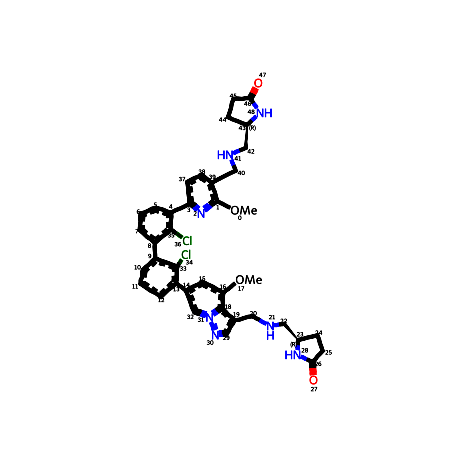 COc1nc(-c2cccc(-c3cccc(-c4cc(OC)c5c(CNC[C@H]6CCC(=O)N6)cnn5c4)c3Cl)c2Cl)ccc1CNC[C@H]1CCC(=O)N1